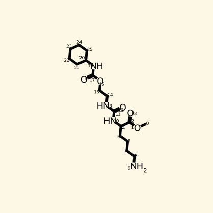 COC(=O)C(CCCCN)NC(=O)NCCOC(=O)NC1CCCCC1